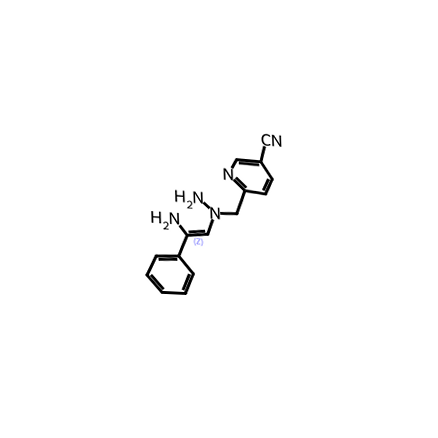 N#Cc1ccc(CN(N)/C=C(\N)c2ccccc2)nc1